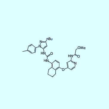 CCCCc1cc(NC(=O)Nc2ccc(Oc3ccnc(NC(=O)COC)c3)c3c2CCCC3)n(-c2ccc(C)cc2)n1